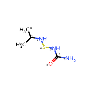 CC(C)NSNC(N)=O